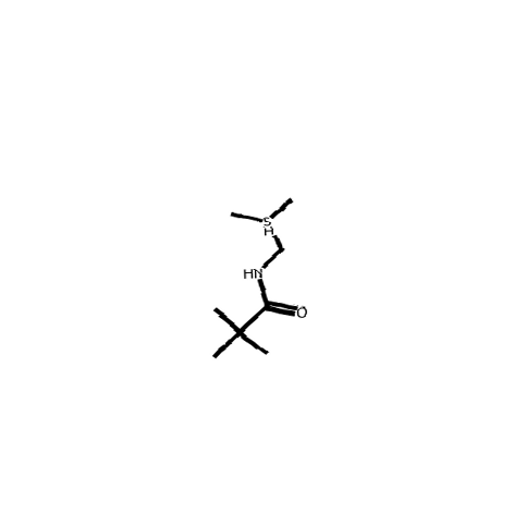 C[SH](C)CNC(=O)C(C)(C)C